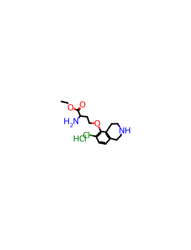 CCOC(=O)C(N)CCOc1c(Cl)ccc2c1CCNCC2.Cl